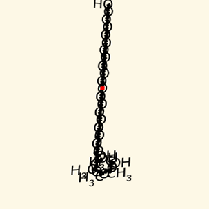 CC(O)COC(C)COC(C)COC(C)COC(CO)CC(O)COCCOCCOCCOCCOCCOCCOCCOCCOCCOCCOCCOCCOCCOCCOCCOCCOCCOCCOCCO